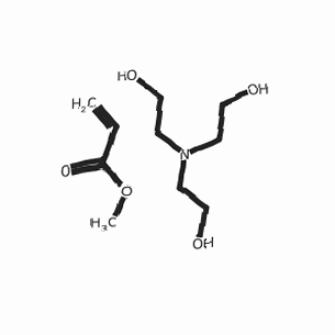 C=CC(=O)OC.OCCN(CCO)CCO